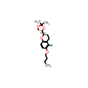 CCCCOc1ccc2c(c1F)CC[C@H]([C@@H]1COC(C)(C)O1)O2